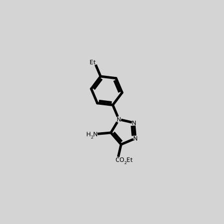 CCOC(=O)c1nnn(-c2ccc(CC)cc2)c1N